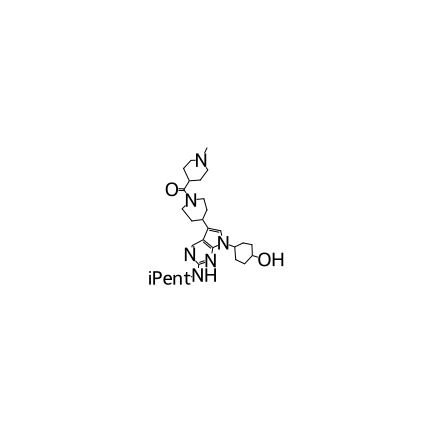 CCCC(C)Nc1ncc2c(C3CCN(C(=O)C4CCN(C)CC4)CC3)cn(C3CCC(O)CC3)c2n1